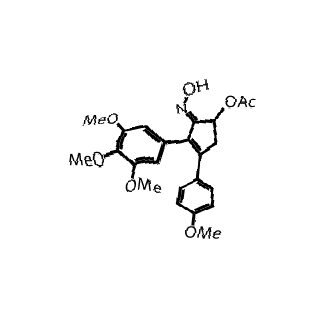 COc1ccc(C2=C(c3cc(OC)c(OC)c(OC)c3)/C(=N/O)C(OC(C)=O)C2)cc1